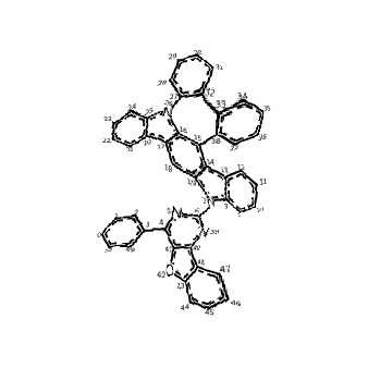 c1ccc(-c2nc(-n3c4ccccc4c4c5c6c(cc43)c3ccccc3n6-c3ccccc3-c3ccccc3-5)nc3c2oc2ccccc23)cc1